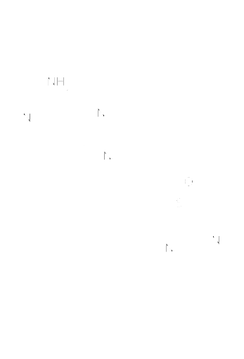 Cc1cnc(N)c2ncn(CCC[S+]([O-])c3ncccn3)c12